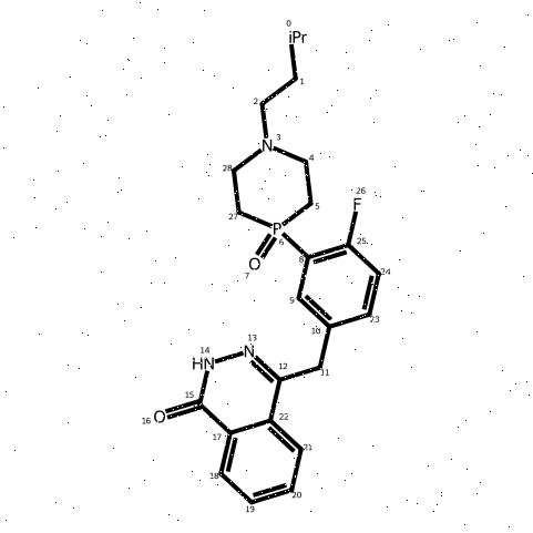 CC(C)CCN1CCP(=O)(c2cc(Cc3n[nH]c(=O)c4ccccc34)ccc2F)CC1